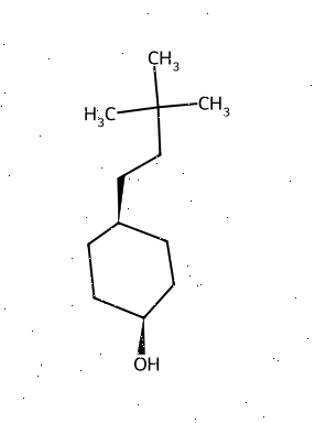 CC(C)(C)CC[C@H]1CC[C@@H](O)CC1